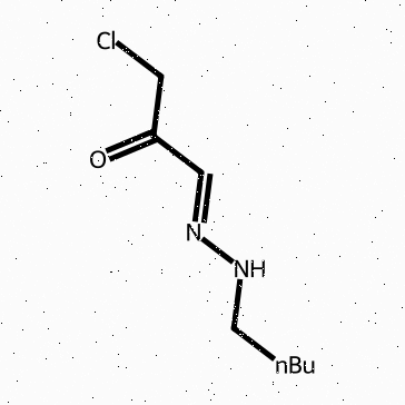 CCCCCNN=CC(=O)CCl